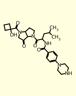 CC(C)CC(NC(=O)c1ccc(N2CCNCC2)cc1)C(=O)N1CCC2C1C(=O)CN2C(=O)C1(O)CCC1